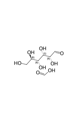 O=CO.O=C[C@H](O)[C@@H](O)[C@H](O)[C@H](O)CO